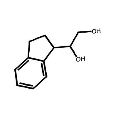 OCC(O)C1CCc2ccccc21